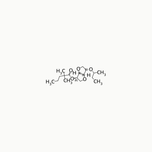 CCCC(C)(C)C(=O)O[C@@H]1CO[C@H]2[C@@H]1OC[C@@H]2OC(C)CC